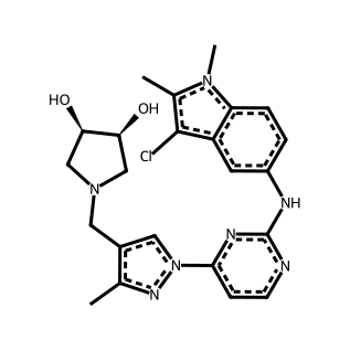 Cc1nn(-c2ccnc(Nc3ccc4c(c3)c(Cl)c(C)n4C)n2)cc1CN1C[C@@H](O)[C@@H](O)C1